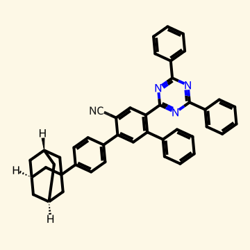 N#Cc1cc(-c2nc(-c3ccccc3)nc(-c3ccccc3)n2)c(-c2ccccc2)cc1-c1ccc(C23C[C@H]4C[C@H](C2)C[C@@H](C3)C4)cc1